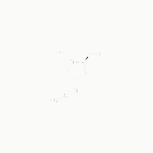 N=[N+]=N[C@H]1C[C@H](C(=O)O)N(C(=O)[O-])C1